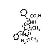 C[C@H](N)C(=O)N[C@@H](Cc1ccccc1)C(=O)N[C@@H](C)C(=O)N[C@@H](Cc1ccccc1)C(=O)O